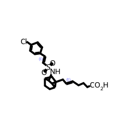 O=C(O)CCC/C=C/CC1C2CCC(CC2)C1NS(=O)(=O)/C=C/c1ccc(Cl)cc1